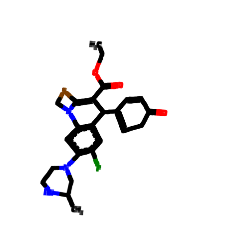 CCOC(=O)C1=C2SCN2c2cc(N3CCNC(C)C3)c(F)cc2C1C1=CCC(=O)C=C1